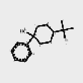 CCC(C)(C)C1CCC(O)(c2ccccc2)CC1